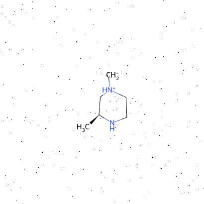 [CH2-][NH+]1CCN[C@@H](C)C1